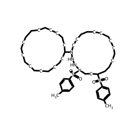 Cc1ccc(S(=O)(=O)C2CCCCCCCCCCCCCN(C3CCCCCCCCCCCCCCCCCCC3)NNN(S(=O)(=O)c3ccc(C)cc3)CC2)cc1